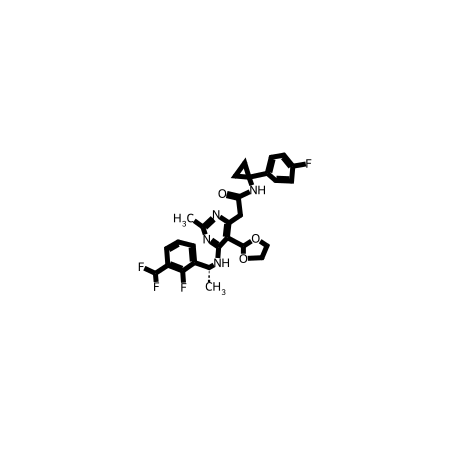 Cc1nc(CC(=O)NC2(c3ccc(F)cc3)CC2)c(C2OCCO2)c(N[C@H](C)c2cccc(C(F)F)c2F)n1